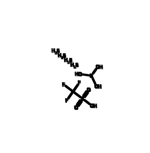 O=S(=O)(O)C(F)(F)F.OB(O)O.S.S.S.S